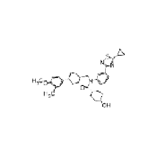 COc1ccc([C@H]2CC[C@H](CN(c3cccc(-c4nsc(C5CC5)n4)c3)C(=O)[C@H]3CC[C@H](O)CC3)CC2)cc1C